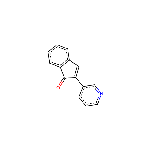 O=C1C(c2cccnc2)=Cc2ccccc21